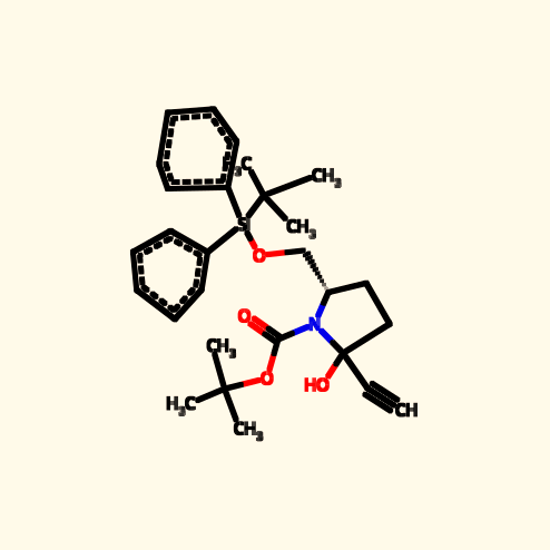 C#CC1(O)CC[C@@H](CO[Si](c2ccccc2)(c2ccccc2)C(C)(C)C)N1C(=O)OC(C)(C)C